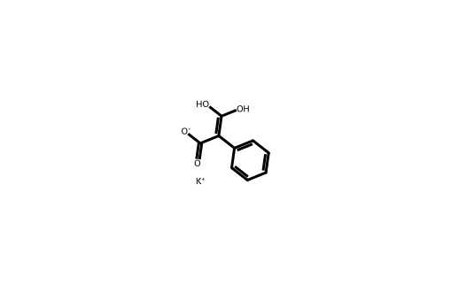 O=C([O-])C(=C(O)O)c1ccccc1.[K+]